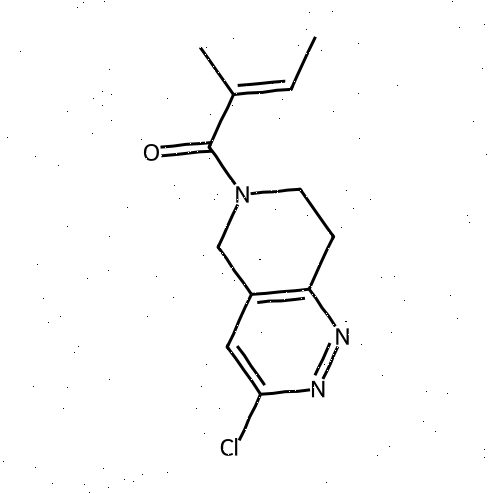 CC=C(C)C(=O)N1CCc2nnc(Cl)cc2C1